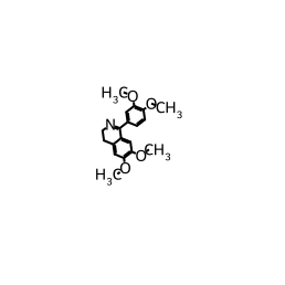 COc1ccc(C2=NCCc3cc(OC)c(OC)cc32)cc1OC